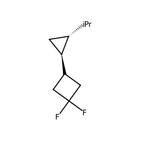 CC(C)[C@H]1C[C@@H]1C1CC(F)(F)C1